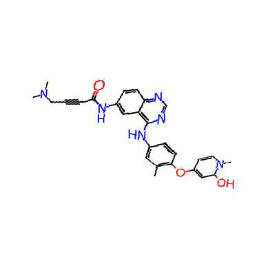 Cc1cc(Nc2ncnc3ccc(NC(=O)C#CCN(C)C)cc23)ccc1OC1=CC(O)N(C)C=C1